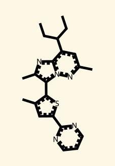 CCC(CC)c1cc(C)nn2c(-c3sc(-c4ncccn4)cc3C)c(C)nc12